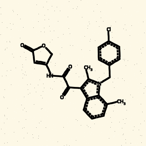 Cc1cccc2c(C(=O)C(=O)NC3=CC(=O)OC3)c(C)n(Cc3ccc(Cl)cc3)c12